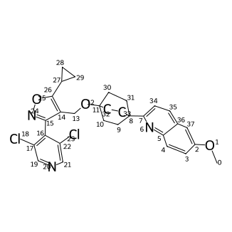 COc1ccc2nc(C34CCC(OCc5c(-c6c(Cl)cncc6Cl)noc5C5CC5)(CC3)CC4)ccc2c1